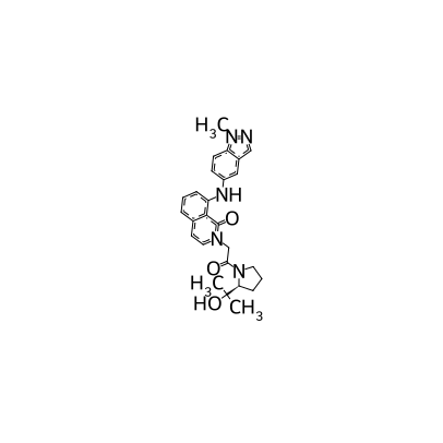 Cn1ncc2cc(Nc3cccc4ccn(CC(=O)N5CCC[C@H]5C(C)(C)O)c(=O)c34)ccc21